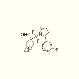 O=CC(CCl)(CC1CC1)C(F)(F)N1N=CCC1c1cncc(F)c1